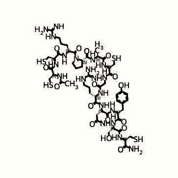 CC(=O)N[C@@H](CS)C(=O)N[C@@H](CS)C(=O)N[C@@H](CCCNC(=N)N)C(=O)N1CCC[C@H]1C(=O)N[C@@H](C)C(=O)N[C@@H](CS)C(=O)NCC(=O)N[C@@H](CCCNC(=N)N)C(=O)N[C@@H](CC(N)=O)C(=O)N[C@@H](Cc1ccc(O)cc1)C(=O)N[C@@H](CO)C(=O)N[C@@H](CS)C(N)=O